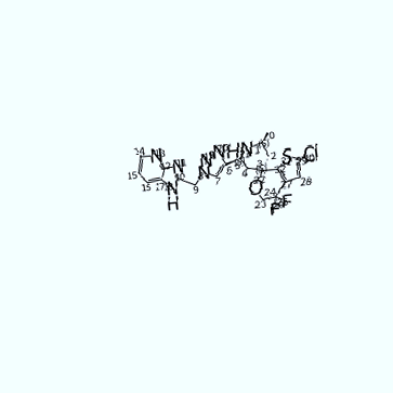 C[C@H]1C[C@@]2(C[C@@H](c3cn(Cc4nc5ncccc5[nH]4)nn3)N1)OCC(F)(F)c1cc(Cl)sc12